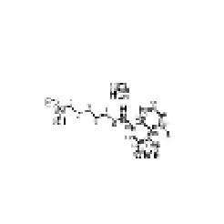 CCN(CC)CCCCCCNc1cc(OC)c(F)c2c(C)ccnc12.Cl.Cl